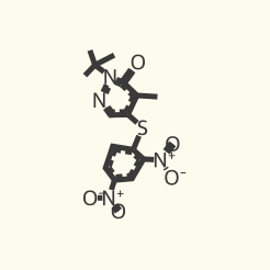 Cc1c(Sc2ccc([N+](=O)[O-])cc2[N+](=O)[O-])cnn(C(C)(C)C)c1=O